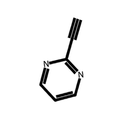 C#Cc1ncccn1